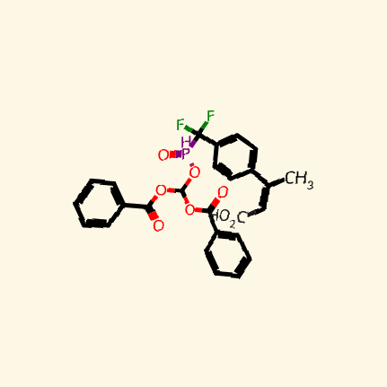 C/C(=C/C(=O)O)c1ccc(C(F)(F)[PH](=O)OC(OC(=O)c2ccccc2)OC(=O)c2ccccc2)cc1